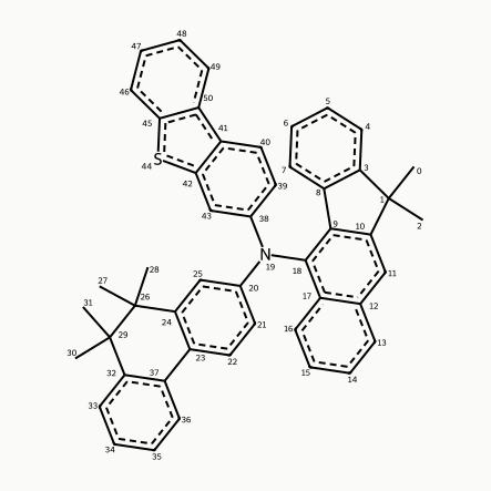 CC1(C)c2ccccc2-c2c1cc1ccccc1c2N(c1ccc2c(c1)C(C)(C)C(C)(C)c1ccccc1-2)c1ccc2c(c1)sc1ccccc12